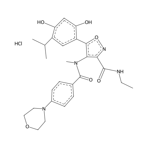 CCNC(=O)c1noc(-c2cc(C(C)C)c(O)cc2O)c1N(C)C(=O)c1ccc(N2CCOCC2)cc1.Cl